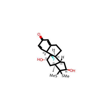 CSC1(SC)[C@H](O)C[C@H]2[C@@H]3CCC4=CC(=O)C=C[C@]4(C)C3(F)[C@@H](O)C[C@@]21C